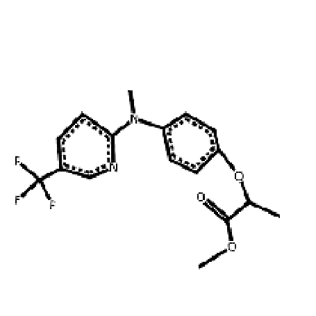 COC(=O)C(C)Oc1ccc(N(C)c2ccc(C(F)(F)F)cn2)cc1